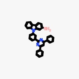 Bc1ccc2c3ccccc3n(-c3cccc(-c4nc(-c5ccccc5)cc(-c5ccccc5)n4)c3)c2c1